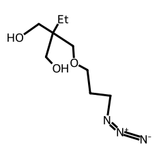 CCC(CO)(CO)COCCCN=[N+]=[N-]